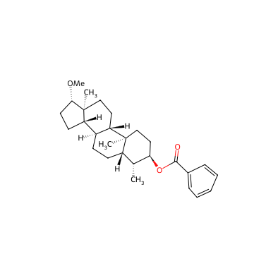 CO[C@H]1CC[C@H]2[C@@H]3CC[C@H]4[C@@H](C)[C@H](OC(=O)c5ccccc5)CC[C@]4(C)[C@H]3CC[C@]12C